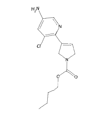 CCCCOC(=O)N1CC=C(c2ncc(N)cc2Cl)C1